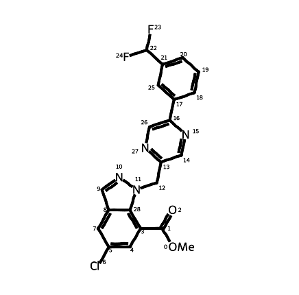 COC(=O)c1cc(Cl)cc2cnn(Cc3cnc(-c4cccc(C(F)F)c4)cn3)c12